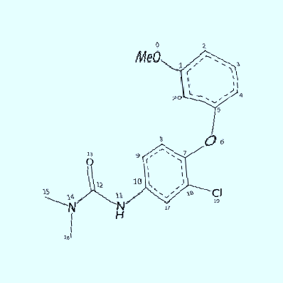 COc1cccc(Oc2ccc(NC(=O)N(C)C)cc2Cl)c1